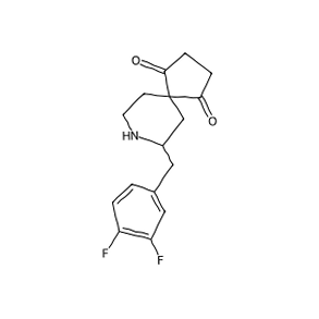 O=C1CCC(=O)C12CCNC(Cc1ccc(F)c(F)c1)C2